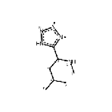 CNC(CC(C)C)c1nnn[nH]1